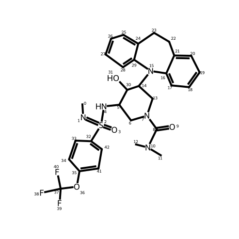 CN=S(=O)(NC1CN(C(=O)N(C)C)CC(N2c3ccccc3CCc3ccccc32)C1O)c1ccc(OC(F)(F)F)cc1